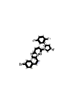 Fc1ccc(F)c([C@H]2C[C@H](F)CN2c2ccc3ncc(/C=C\c4ccc(Br)cc4)n3n2)c1